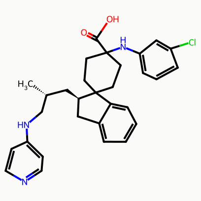 C[C@@H](CNc1ccncc1)C[C@@H]1Cc2ccccc2C12CCC(Nc1cccc(Cl)c1)(C(=O)O)CC2